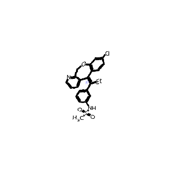 CC/C(=C1\c2ccc(Cl)cc2OCc2ncccc21)c1cccc(NS(C)(=O)=O)c1